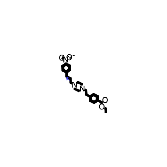 CCOC(=O)c1ccc(CCN2CCN(C/C=C/c3ccc([N+](=O)[O-])cc3)CC2)cc1